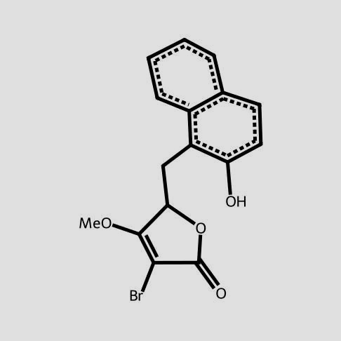 COC1=C(Br)C(=O)OC1Cc1c(O)ccc2ccccc12